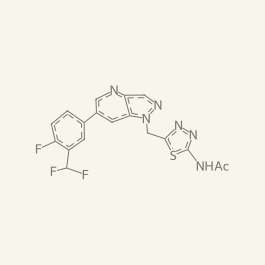 CC(=O)Nc1nnc(Cn2ncc3ncc(-c4ccc(F)c(C(F)F)c4)cc32)s1